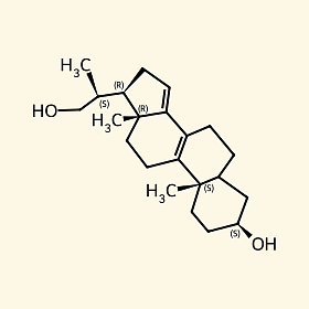 C[C@H](CO)[C@H]1CC=C2C3=C(CC[C@@]21C)[C@@]1(C)CC[C@H](O)CC1CC3